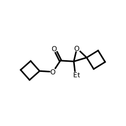 CCC1(C(=O)OC2CCC2)OC12CCC2